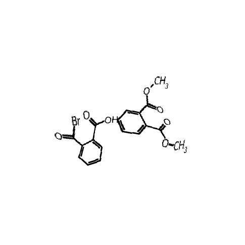 COC(=O)c1ccccc1C(=O)OC.O=C(O)c1ccccc1C(=O)Br